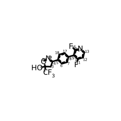 OC1(C(F)(F)F)CC(c2ccc(-c3c(F)ccnc3F)cc2)=NO1